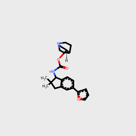 CC1(C)Cc2cc(-c3ccco3)ccc2C1NC(=O)O[C@H]1CN2CCC1CC2